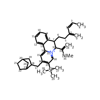 C=C(/C=C\C)CCC1c2ccccc2-c2cc(CC3CC4CCC3C4)c([Si](C)(C)C)c[n+]2C1C(=C)NC